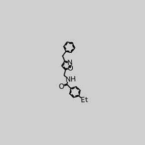 CCc1ccc(C(=O)NCc2cc(Cc3ccccc3)no2)cc1